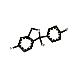 [CH2]CCC1(c2ccc(F)cc2)OCc2cc(Br)ccc21